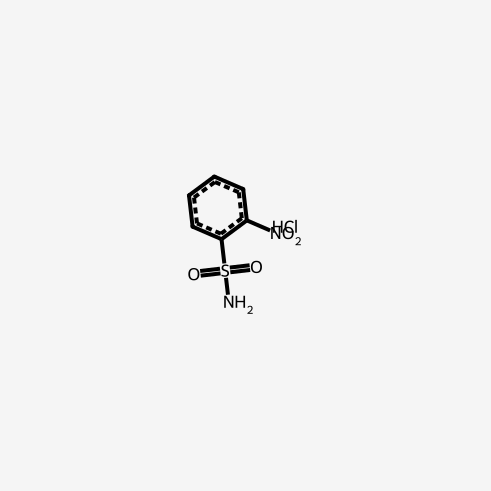 Cl.NS(=O)(=O)c1ccccc1[N+](=O)[O-]